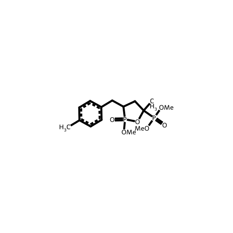 COP1(=O)OC(C)(P(=O)(OC)OC)CC1Cc1ccc(C)cc1